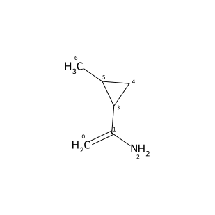 C=C(N)C1CC1C